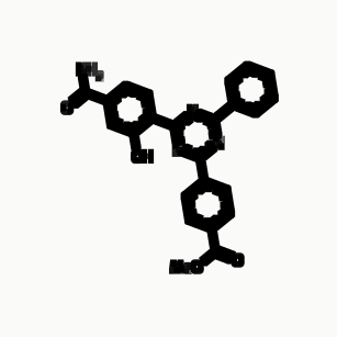 COC(=O)c1ccc(-c2nc(-c3ccccc3)nc(-c3ccc(C(N)=O)cc3O)n2)cc1